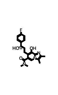 Cc1nc2c(O)c(CC[C@H](O)c3ccc(F)cc3)c(C(=O)N(C)C)cn2c1C